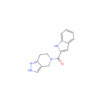 O=C(c1cc2ccccc2[nH]1)N1CCc2n[nH]cc2C1